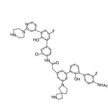 CC(=O)Nc1ccc(-c2cccc(-c3cc(CC(=O)Nc4ccc(-c5cc(F)cc(-c6ccnc(N7CCNCC7)c6)c5O)cc4Cl)cc(N4CCC5(CCNC5)C4)c3)c2O)cc1F